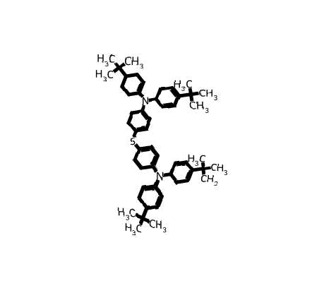 CC(C)(C)C1=CCC(N(C2=CCC(C(C)(C)C)C=C2)C2=CC=C(SC3=CC=C(N(C4=CCC(C(C)(C)C)CC4)C4C=CC(C(C)(C)C)=CC4)CC3)CC2)C=C1